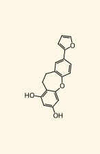 Oc1cc(O)c2c(c1)Oc1ccc(-c3ccco3)cc1CC2